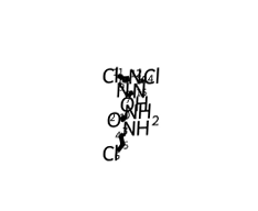 NC(=O)NCCCl.Oc1nc(Cl)nc(Cl)n1